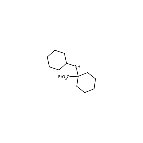 CCOC(=O)C1(NC2CCCCC2)CCCCC1